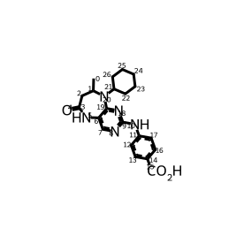 CC1CC(=O)Nc2cnc(Nc3ccc(C(=O)O)cc3)nc2N1C1CCCCC1